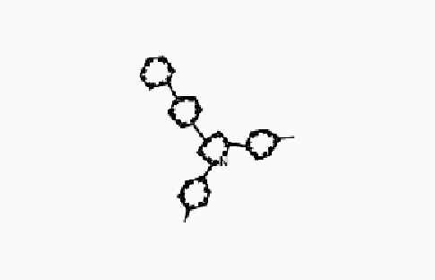 Cc1ccc(-c2cc(-c3ccc(-c4ccccc4)cc3)cc(-c3ccc(C)cc3)n2)cc1